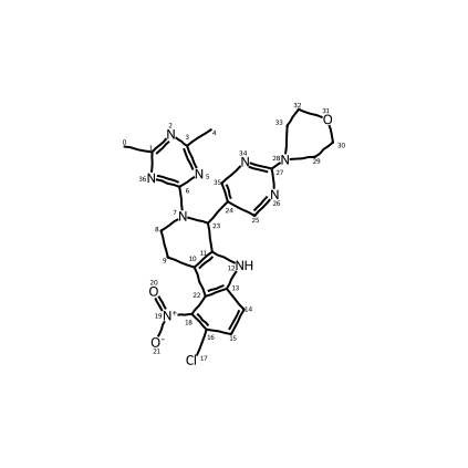 Cc1nc(C)nc(N2CCc3c([nH]c4ccc(Cl)c([N+](=O)[O-])c34)C2c2cnc(N3CCOCC3)nc2)n1